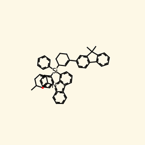 CC1C=C(n2c3ccccc3c3cccc([Si](c4ccccc4)(c4ccccc4)C4C=C(c5ccc6c(c5)C(C)(C)c5ccccc5-6)CCC4)c32)C=CC1